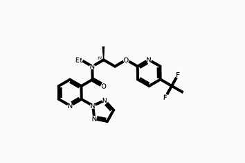 CCN(C(=O)c1cccnc1-n1nccn1)[C@@H](C)COc1ccc(C(C)(F)F)cn1